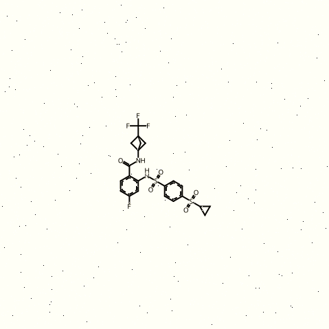 O=C(NC12CC(C(F)(F)F)(C1)C2)c1ccc(F)cc1NS(=O)(=O)c1ccc(S(=O)(=O)C2CC2)cc1